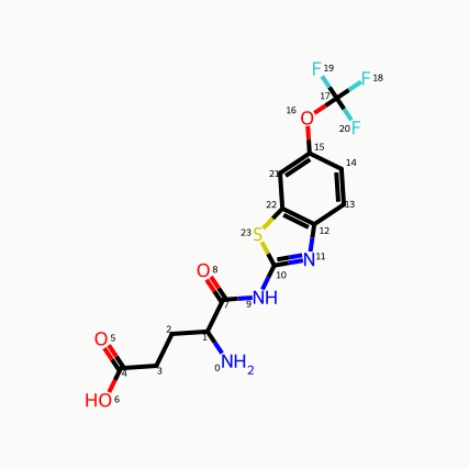 NC(CCC(=O)O)C(=O)Nc1nc2ccc(OC(F)(F)F)cc2s1